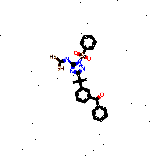 CC(C)(c1cccc(C(=O)c2ccccc2)c1)c1nc(N=C(S)S)n(S(=O)(=O)c2ccccc2)n1